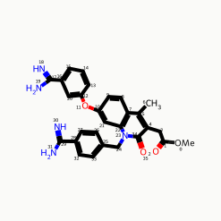 COC(=O)Cc1c(C)c2ccc(Oc3cccc(C(=N)N)c3)cc2n(Cc2ccc(C(=N)N)cc2)c1=O